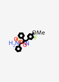 COc1ccc(-c2noc(Cc3ccccc3)c2-c2ccccc2S(N)(=O)=O)cc1F